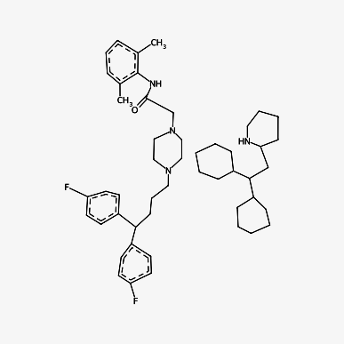 C1CCC(C(CC2CCCCN2)C2CCCCC2)CC1.Cc1cccc(C)c1NC(=O)CN1CCN(CCCC(c2ccc(F)cc2)c2ccc(F)cc2)CC1